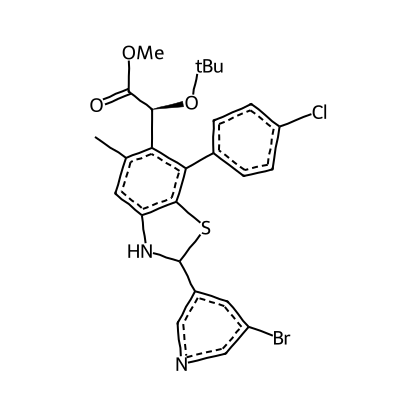 COC(=O)[C@@H](OC(C)(C)C)c1c(C)cc2c(c1-c1ccc(Cl)cc1)SC(c1cncc(Br)c1)N2